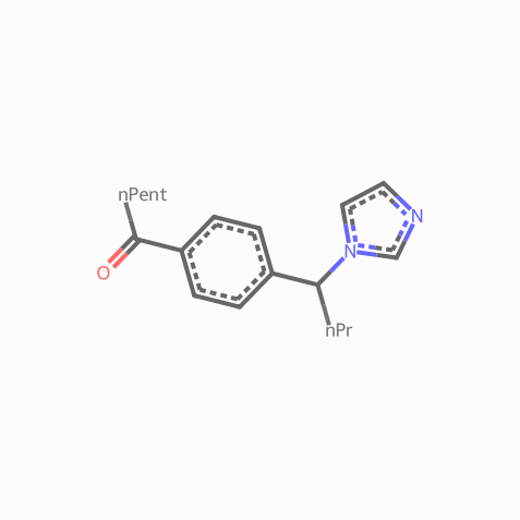 CCCCCC(=O)c1ccc(C(CCC)n2ccnc2)cc1